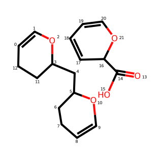 C1=COC(CC2CCC=CO2)CC1.O=C(O)C1C=CC=CO1